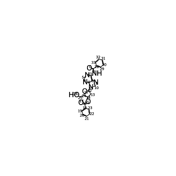 O=C(Nc1ncnc2c1ncn2[C@H]1CC(OC(=O)c2ccccc2)[C@@H](CO)O1)c1ccccc1